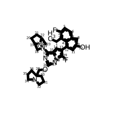 CCc1c(F)ccc2cc(O)cc(-c3cc4c(N5CC6CCC(C5)N6)nc(OCC56CCCN5CCC6)nn4c3F)c12